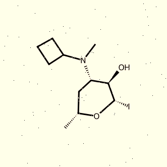 C[C@@H]1C[C@H](N(C)C2CCC2)[C@@H](O)[C@H](I)O1